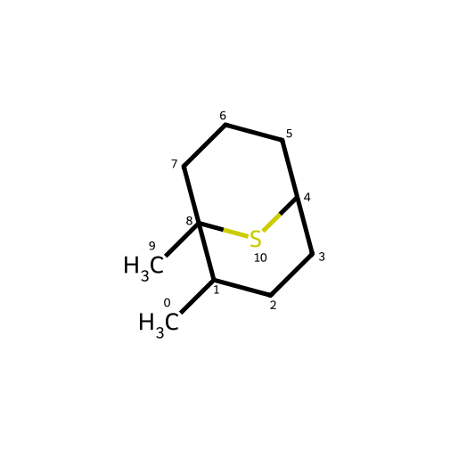 CC1CCC2CCCC1(C)S2